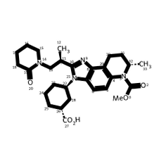 COC(=O)N1c2ccc3c(nc([C@H](C)CN4CCCCC4=O)n3[C@@H]3CCC[C@@H](C(=O)O)C3)c2CC[C@@H]1C